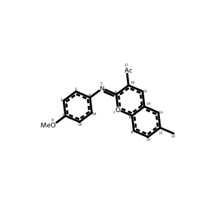 COc1ccc(/N=c2\oc3ccc(C)cc3cc2C(C)=O)cc1